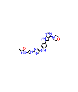 C=CC(=O)NC1CN(c2ncc(Nc3ccc(-c4cc5c(N6CCOCC6)ncnc5[nH]4)cc3)cn2)C1